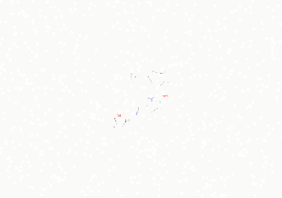 N#Cc1cccc(C(=O)C2C=CC(/C=C/c3ccco3)=N2)c1